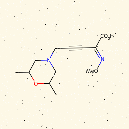 CON=C(C#CCN1CC(C)OC(C)C1)C(=O)O